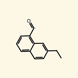 CCc1ccc2cccc([C]=O)c2c1